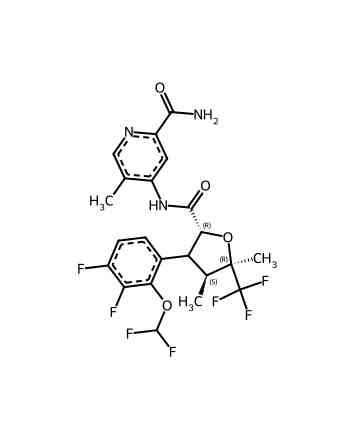 Cc1cnc(C(N)=O)cc1NC(=O)[C@@H]1O[C@@](C)(C(F)(F)F)[C@@H](C)C1c1ccc(F)c(F)c1OC(F)F